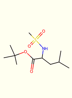 CC(C)CC(NS(C)(=O)=O)C(=O)OC(C)(C)C